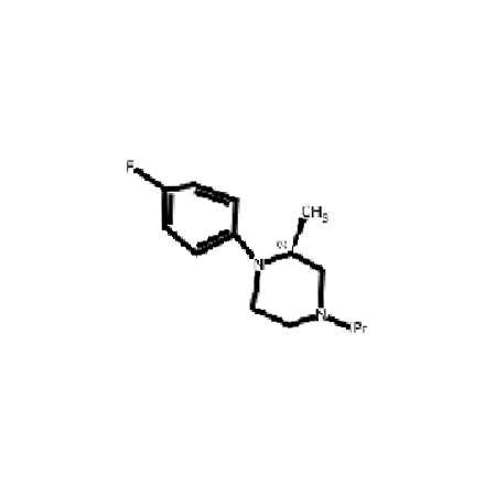 CC(C)N1CCN(c2ccc(F)cc2)[C@@H](C)C1